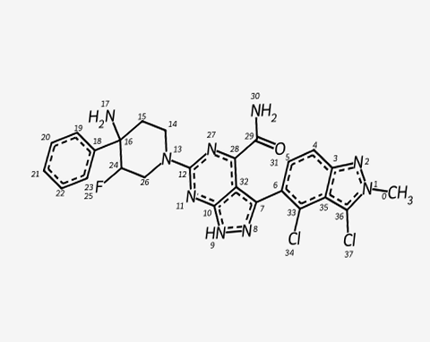 Cn1nc2ccc(-c3n[nH]c4nc(N5CCC(N)(c6ccccc6)C(F)C5)nc(C(N)=O)c34)c(Cl)c2c1Cl